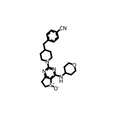 N#Cc1ccc(CC2CCN(c3nc4c(c(NC5CCOCC5)n3)[S+]([O-])CC4)CC2)cc1